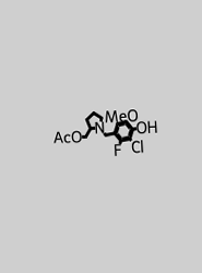 COc1cc(O)c(Cl)c(F)c1CN1CCCC1COC(C)=O